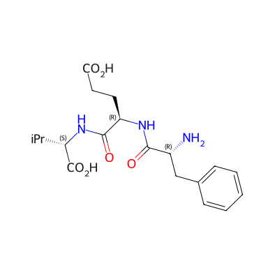 CC(C)[C@H](NC(=O)[C@@H](CCC(=O)O)NC(=O)[C@H](N)Cc1ccccc1)C(=O)O